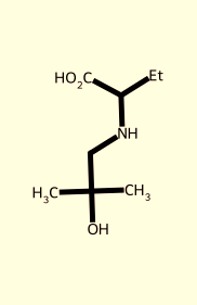 CCC(NCC(C)(C)O)C(=O)O